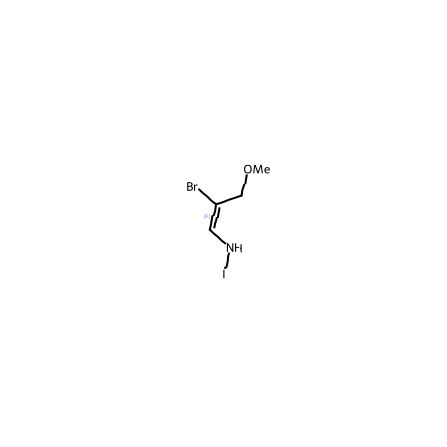 COC/C(Br)=C\NI